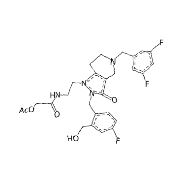 CC(=O)OCC(=O)NCCn1c2c(c(=O)n1Cc1ccc(F)cc1CO)CN(Cc1cc(F)cc(F)c1)CC2